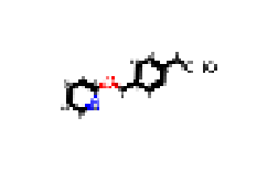 O=CCc1ccc(COc2ccccn2)cc1